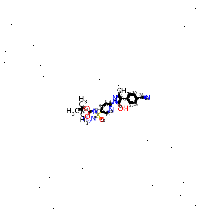 Cc1nn(-c2ccc(S(N)(=O)=NC(=O)OC(C)(C)C)cn2)c(O)c1-c1ccc(C#N)cc1